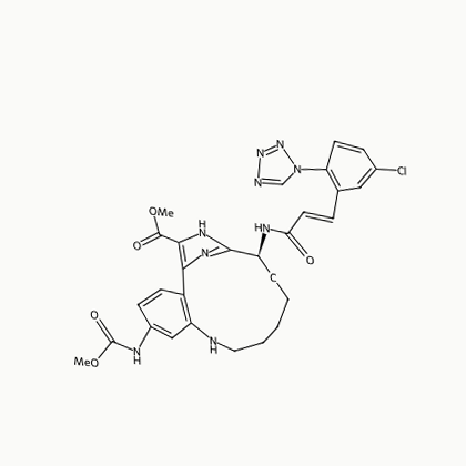 COC(=O)Nc1ccc2c(c1)NCCCCC[C@H](NC(=O)C=Cc1cc(Cl)ccc1-n1cnnn1)c1nc-2c(C(=O)OC)[nH]1